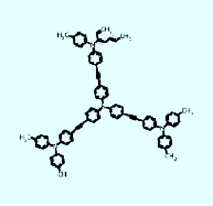 C=C/C(=C\C=C\C)N(c1ccc(C)cc1)c1ccc(C#Cc2ccc(N(c3ccc(C#Cc4ccc(N(c5ccc(C)cc5)c5ccc(C)cc5)cc4)cc3)c3ccc(C#Cc4ccc(N(c5ccc(C)cc5)c5ccc(C)cc5)cc4)cc3)cc2)cc1